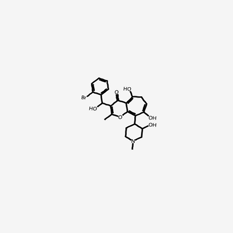 Cc1oc2c(c(=O)c1C(O)c1ccccc1Br)=C(O)CC=C(O)C=2C1CCN(C)CC1O